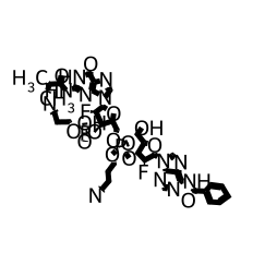 CC(C)C(=O)Nc1nc2c(ncn2C2OC(COP(=O)(OCCCC#N)O[C@@H]3C(CO)OC(n4cnc5c(NC(=O)c6ccccc6)ncnc54)[C@@H]3F)[C@@H](OP(=O)(O)OCCC#N)[C@H]2F)c(=O)[nH]1